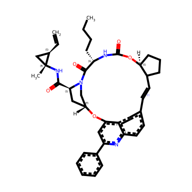 C=C[C@@H]1C[C@@]1(C)NC(=O)[C@@H]1C[C@@H]2CN1C(=O)[C@H](CCCC)NC(=O)O[C@H]1CCCC1/C=C/c1ccc3nc(-c4ccccc4)cc(c3c1)O2